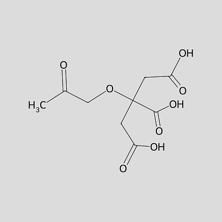 CC(=O)COC(CC(=O)O)(CC(=O)O)C(=O)O